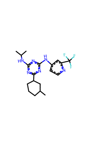 CC1CCCC(c2nc(Nc3ccnc(C(F)(F)F)c3)nc(NC(C)C)n2)C1